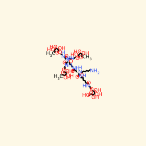 C[C@@H]1O[C@@H](OCCNC(=O)CN(CC(=O)NCCO[C@@H]2O[C@@H](C)[C@@H](O)[C@@H](O)[C@@H]2O)[C@@H](CCCCNC(=O)CC[C@H](NC(=O)CCCCCN)C(=O)NCCCCCC(=O)NCCO[C@H]2O[C@H](CO)[C@@H](O)[C@H](O)[C@@H]2O)C(=O)NCCO[C@@H]2O[C@@H](C)[C@@H](O)[C@@H](O)[C@@H]2O)[C@@H](O)[C@H](O)[C@@H]1O